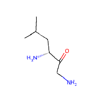 CC(C)C[C@@H](N)C(=O)CN